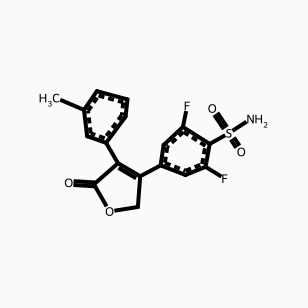 Cc1cccc(C2=C(c3cc(F)c(S(N)(=O)=O)c(F)c3)COC2=O)c1